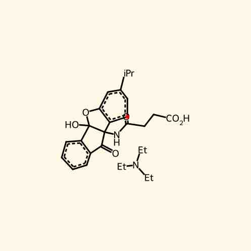 CC(C)c1ccc2c(c1)OC1(O)c3ccccc3C(=O)C21NC(=O)CCC(=O)O.CCN(CC)CC